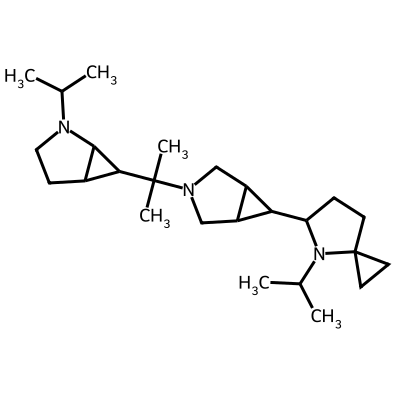 CC(C)N1CCC2C1C2C(C)(C)N1CC2C(C1)C2C1CCC2(CC2)N1C(C)C